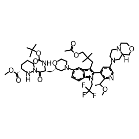 COC(=O)[C@@H]1CCCN(C(=O)[C@H](C[C@H]2CN(c3ccc4c(c3)c(CC(C)(C)COC(C)=O)c(-c3cc(N5CCN6CCOC[C@@H]6C5)cnc3[C@H](C)OC)n4CC(F)(F)F)CCO2)NC(=O)OC(C)(C)C)N1